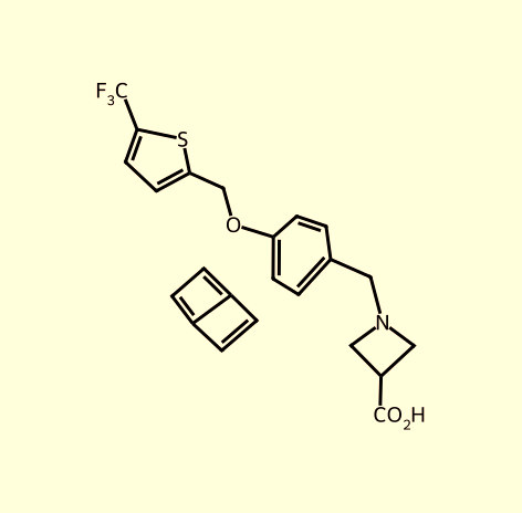 O=C(O)C1CN(Cc2ccc(OCc3ccc(C(F)(F)F)s3)cc2)C1.c1cc2ccc1-2